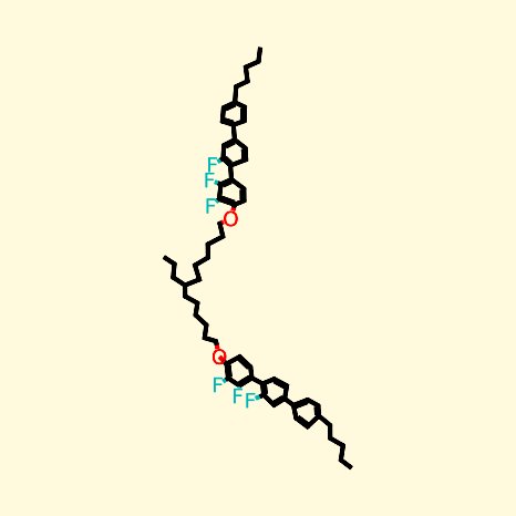 CCCCCc1ccc(-c2ccc(-c3ccc(OCCCCCCC(CCC)CCCCCCOc4ccc(-c5ccc(-c6ccc(CCCCC)cc6)cc5F)c(F)c4F)c(F)c3F)c(F)c2)cc1